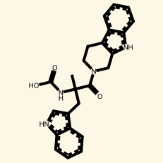 CC(Cc1c[nH]c2ccccc12)(NC(=O)O)C(=O)N1CCc2c([nH]c3ccccc23)C1